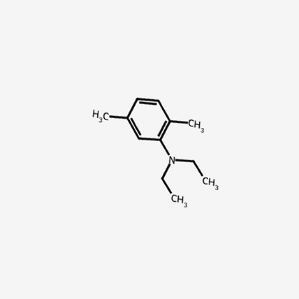 CCN(CC)c1cc(C)ccc1C